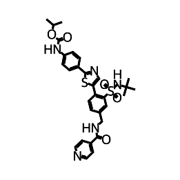 CC(C)OC(=O)Nc1ccc(-c2ncc(-c3ccc(CNC(=O)c4ccncc4)cc3S(=O)(=O)NC(C)(C)C)s2)cc1